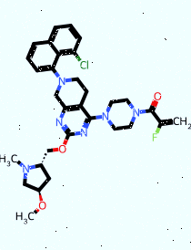 C=C(F)C(=O)N1CCN(c2nc(OC[C@@H]3C[C@@H](OC)CN3C)nc3c2CCN(c2cccc4cccc(Cl)c24)C3)CC1